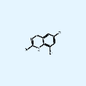 Clc1cc(Br)c2c(c1)SN=C(Br)N2